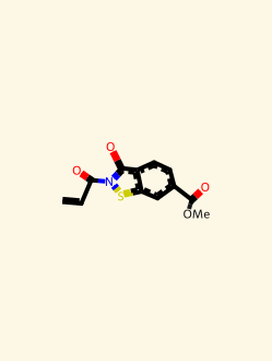 C=CC(=O)n1sc2cc(C(=O)OC)ccc2c1=O